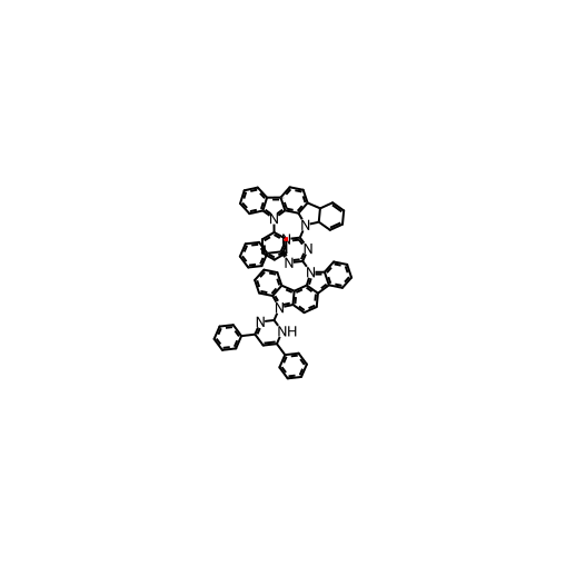 C1=CC2c3ccc4c5ccccc5n(-c5ccccc5)c4c3N(c3nc(-c4ccccc4)nc(-n4c5ccccc5c5ccc6c(c7ccccc7n6C6N=C(c7ccccc7)C=C(c7ccccc7)N6)c54)n3)C2C=C1